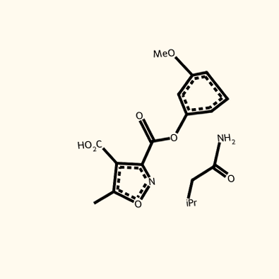 CC(C)CC(N)=O.COc1cccc(OC(=O)c2noc(C)c2C(=O)O)c1